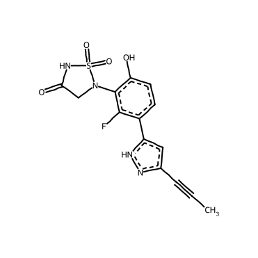 CC#Cc1cc(-c2ccc(O)c(N3CC(=O)NS3(=O)=O)c2F)[nH]n1